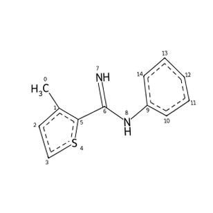 Cc1ccsc1C(=N)Nc1ccccc1